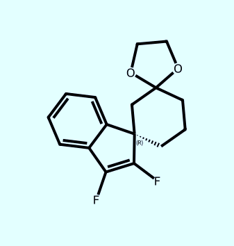 FC1=C(F)[C@@]2(CCCC3(C2)OCCO3)c2ccccc21